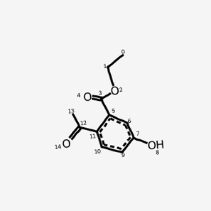 CCOC(=O)c1cc(O)ccc1C(C)=O